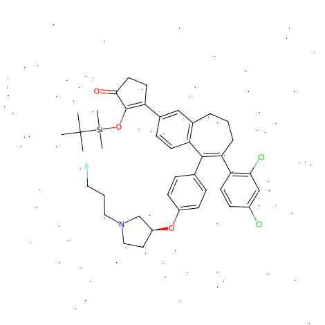 CC(C)(C)[Si](C)(C)OC1=C(c2ccc3c(c2)CCCC(c2ccc(Cl)cc2Cl)=C3c2ccc(O[C@H]3CCN(CCCF)C3)cc2)CCC1=O